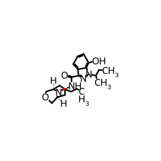 CCCCN1[C@@H]2COC[C@H]1C[C@@H](NC(=O)c1nn(C(C)CC)c3c(O)cccc13)C2